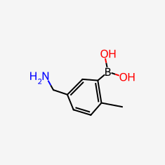 Cc1ccc(CN)cc1B(O)O